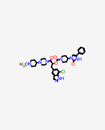 CN1CCC(N2CCN(C(=O)C(Cc3cc(Cl)c4[nH]ncc4c3)OC(=O)N3CCC(n4cc(-c5ccccc5)[nH]c4=O)CC3)CC2)CC1